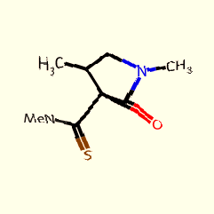 CNC(=S)C1C(=O)N(C)CC1C